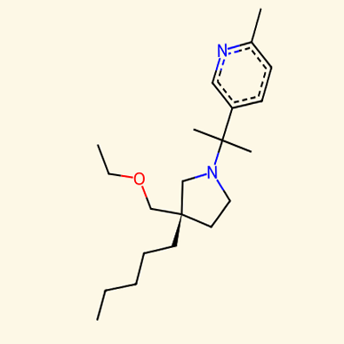 CCCCC[C@]1(COCC)CCN(C(C)(C)c2ccc(C)nc2)C1